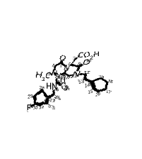 CN1CC(=O)N2[C@@H](CC(=O)O)C(=O)N(CCC3=CCCCC3)C[C@@H]2N1C(=O)NCc1ccc(F)cc1